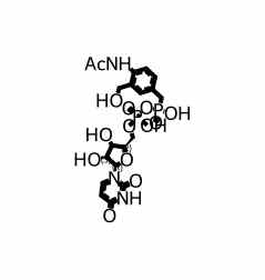 CC(=O)Nc1ccc(CP(=O)(O)OP(=O)(O)OC[C@H]2O[C@@H](n3ccc(=O)[nH]c3=O)[C@@H](O)C2O)cc1CO